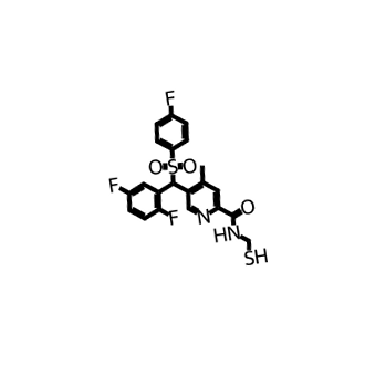 Cc1cc(C(=O)NCS)ncc1C(c1cc(F)ccc1F)S(=O)(=O)c1ccc(F)cc1